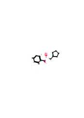 Cc1cc(C)c(C(=O)[PH](=O)CC2CCCC2)c(C)c1